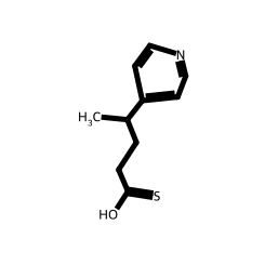 CC(CCC(O)=S)c1ccncc1